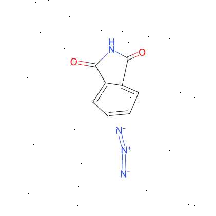 O=C1NC(=O)c2ccccc21.[N-]=[N+]=[N-]